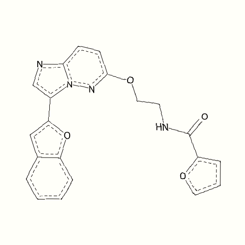 O=C(NCCOc1ccc2ncc(-c3cc4ccccc4o3)n2n1)c1ccco1